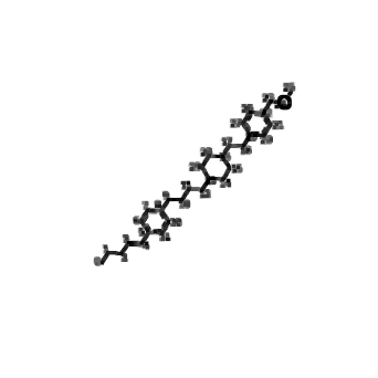 CCC/C=C/c1ccc(CCCCC2CCC(CCc3ccc(COC)cc3)CC2)cc1